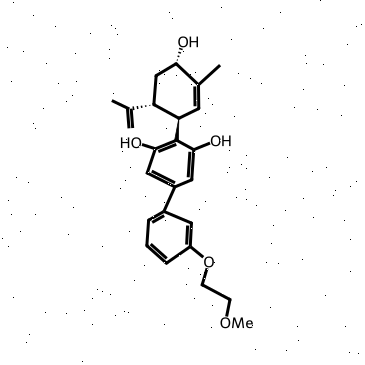 C=C(C)[C@@H]1C[C@H](O)C(C)=C[C@H]1c1c(O)cc(-c2cccc(OCCOC)c2)cc1O